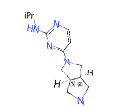 CC(C)Nc1nccc(N2C[C@H]3CN(C)C[C@H]3C2)n1